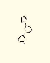 Clc1nccc(N2CCCC(n3cccc3)C2)n1